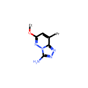 CCOc1cc(C(C)C)c2nnc(N)n2n1